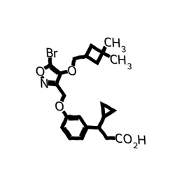 CC1(C)CC(COc2c(COc3cccc(C(CC(=O)O)C4CC4)c3)noc2Br)C1